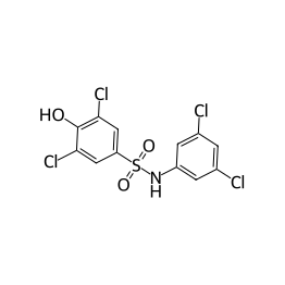 O=S(=O)(Nc1cc(Cl)cc(Cl)c1)c1cc(Cl)c(O)c(Cl)c1